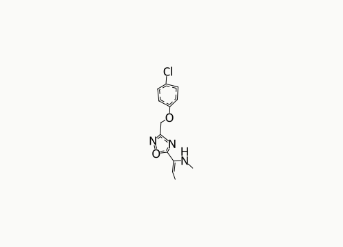 C/C=C(\NC)c1nc(COc2ccc(Cl)cc2)no1